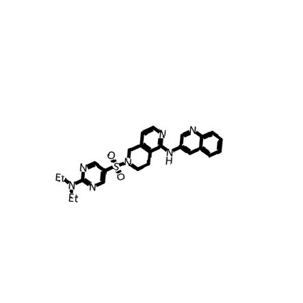 CCN(CC)c1ncc(S(=O)(=O)N2CCc3c(ccnc3Nc3cnc4ccccc4c3)C2)cn1